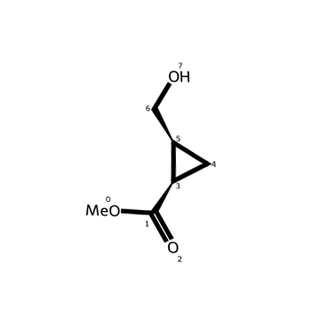 COC(=O)[C@@H]1C[C@@H]1CO